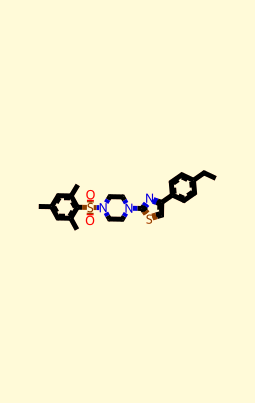 CCc1ccc(-c2csc(N3CCN(S(=O)(=O)c4c(C)cc(C)cc4C)CC3)n2)cc1